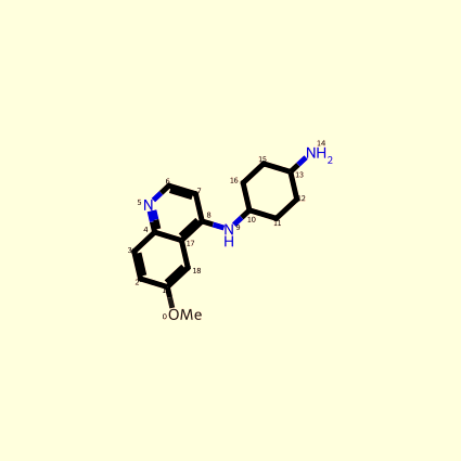 COc1ccc2nccc(NC3CCC(N)CC3)c2c1